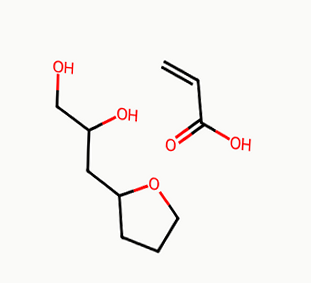 C=CC(=O)O.OCC(O)CC1CCCO1